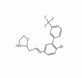 FC(F)(F)c1cccc(-c2cc(N=CCC3NCCO3)ccc2Br)c1